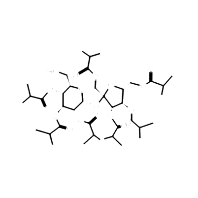 CC(C)C(=O)OC[C@H]1O[C@@](COC(=O)C(C)C)(O[C@H]2O[C@H](CO)[C@@H](OC(=O)C(C)C)[C@H](OC(=O)C(C)C)[C@H]2OC(=O)C(C)C)[C@@H](OC(=O)C(C)C)[C@@H]1OC(=O)C(C)C